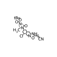 CC1CN(C(=O)OC(C)(C)C)CC(=O)N1c1cc(Cl)c2cnc(NC(=O)[C@H]3C[C@@H]3C#N)cc2c1